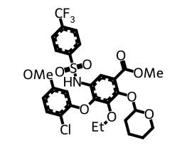 CCOc1c(Oc2cc(OC)ccc2Cl)c(NS(=O)(=O)c2ccc(C(F)(F)F)cc2)cc(C(=O)OC)c1OC1CCCCO1